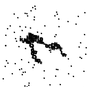 CCC(C)[C@H](NC(=O)CCC(=O)NCCCOC1CC[C@@]2(C)C(=CC[C@H]3[C@@H]4CC[C@H]([C@H](C)CCCC(C)C)[C@@]4(C)CC[C@@H]32)C1)C(=O)N[C@@H](CC(N)=O)C(=O)Nc1ccc(COC(=O)Oc2ccc([N+](=O)[O-])cc2)cc1